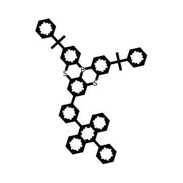 CC(C)(c1ccccc1)c1ccc2c(c1)Sc1cc(-c3cccc(-c4c5ccccc5c(-c5ccccc5)c5ccccc45)c3)cc3c1B2c1ccc(C(C)(C)c2ccccc2)cc1S3